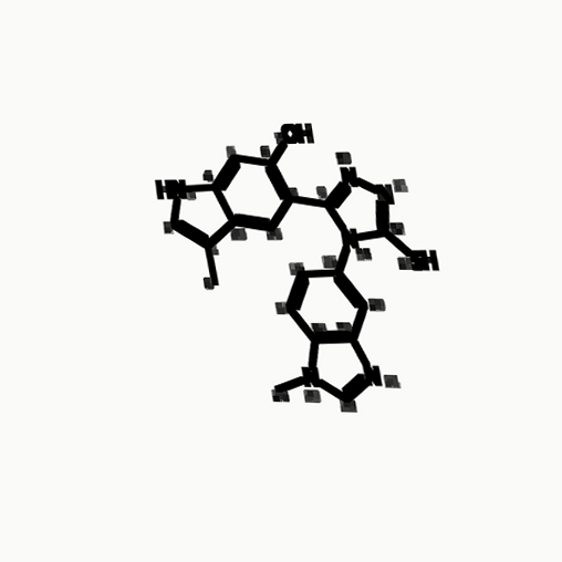 Cc1c[nH]c2cc(O)c(-c3nnc(S)n3-c3ccc4c(c3)ncn4C)cc12